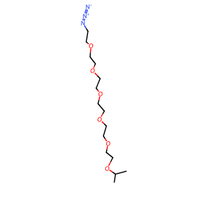 CC(C)OCCOCCOCCOCCOCCOCCN=[N+]=[N-]